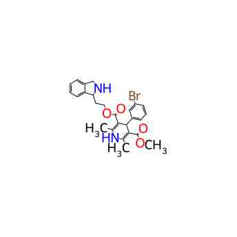 COC(=O)C1=C(C)NC(C)=C(C(=O)OCCC2NCc3ccccc32)C1c1cccc(Br)c1